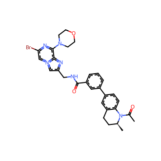 CC(=O)N1c2ccc(-c3cccc(C(=O)NCc4cn5cc(Br)nc(N6CCOCC6)c5n4)c3)cc2CC[C@@H]1C